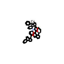 CC1(c2ccccc2)c2ccccc2-c2c(N(c3ccc(-c4cccc5c4ccc4ccccc45)cc3)c3ccccc3-c3cccc4cccc(C5CCCCC5)c34)cccc21